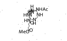 COC(=O)CCCC(=O)NC12CNCCNCC(NC(C)=O)(CNCCNC1)CNCCNC2